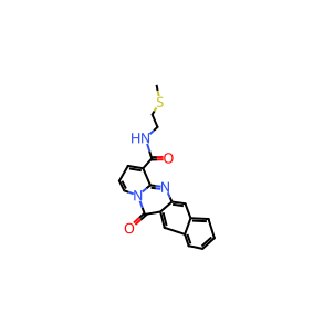 CSCCNC(=O)c1cccn2c(=O)c3cc4ccccc4cc3nc12